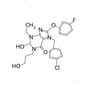 CCN1c2nc(Oc3cccc(F)c3)n(Cc3ccc(Cl)cc3)c2C(=O)N(CCCO)C1O